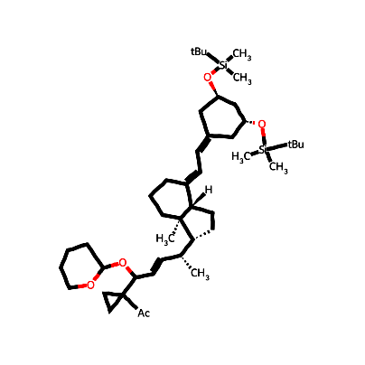 CC(=O)C1(C(/C=C/[C@@H](C)[C@H]2CC[C@H]3/C(=C/C=C4C[C@@H](O[Si](C)(C)C(C)(C)C)C[C@H](O[Si](C)(C)C(C)(C)C)C4)CCC[C@]23C)OC2CCCCO2)CC1